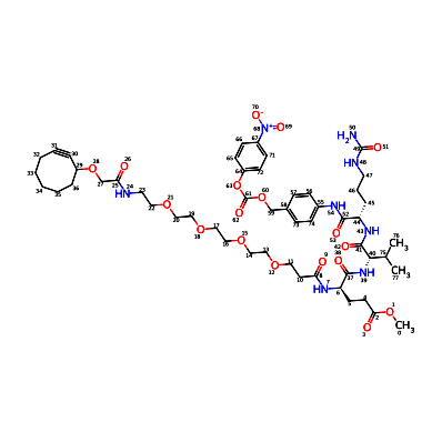 COC(=O)CC[C@@H](NC(=O)CCOCCOCCOCCOCCNC(=O)COC1C#CCCCCC1)C(=O)N[C@H](C(=O)N[C@@H](CCCNC(N)=O)C(=O)Nc1ccc(COC(=O)Oc2ccc([N+](=O)[O-])cc2)cc1)C(C)C